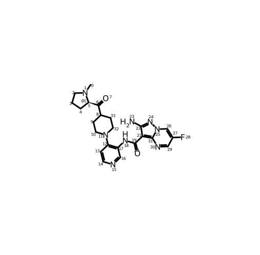 CN1CCC[C@@H]1C(=O)C1CCN(c2ccncc2NC(=O)c2c(N)nn3cc(F)cnc23)CC1